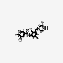 Cc1ncc(C(=O)Nc2cc(F)cc(CN3CCN[C@@H](C)C3)c2C)cc1Cl